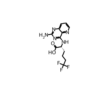 Nc1nc(N[C@H](CCCC(F)(F)F)C(=O)O)c2ncccc2n1